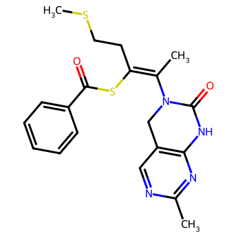 CSCC/C(SC(=O)c1ccccc1)=C(\C)N1Cc2cnc(C)nc2NC1=O